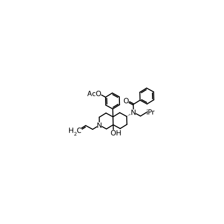 C=CCN1CCC2(c3cccc(OC(C)=O)c3)C[C@H](N(CC(C)C)C(=O)c3ccccc3)CCC2(O)C1